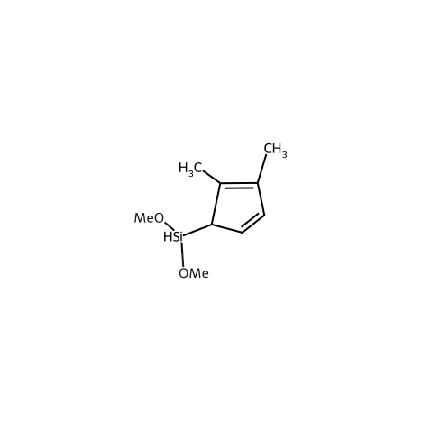 CO[SiH](OC)C1C=CC(C)=C1C